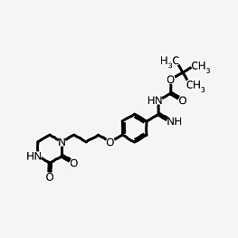 CC(C)(C)OC(=O)NC(=N)c1ccc(OCCCN2CCNC(=O)C2=O)cc1